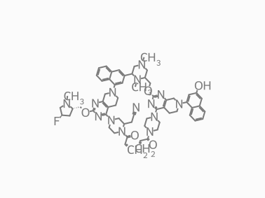 C=CC(=O)N1CCN(c2nc(OCC3CN(C)CC(c4cc(N5CCc6c(nc(OC[C@@H]7C[C@@H](F)CN7C)nc6N6CCN(C(=O)C=C)C(CC#N)C6)C5)c5ccccc5c4)N3C)nc3c2CCN(c2cc(O)cc4ccccc24)C3)CC1